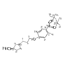 Cc1cc(OCCCN2CC[C@@H](O)C2)ccc1B1OC(C)(C)C(C)(C)O1